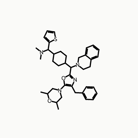 CC1CN(c2oc(C(C3CCC(C(c4cccs4)N(C)C)CC3)N3CCc4ccccc4C3)nc2Cc2ccccc2)CC(C)O1